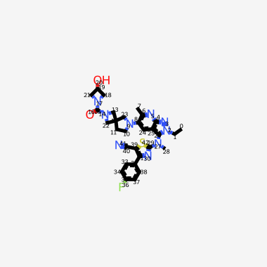 CCn1nc2nc(C)c(N3CCC4(CN(C(=O)N5CC(O)C5)C4)C3)cc2c1N(C)c1nc(-c2ccc(F)cc2)c(C#N)s1